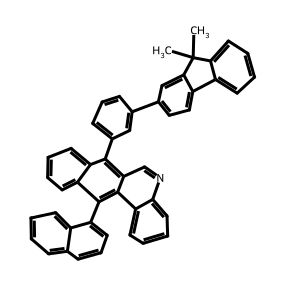 CC1(C)c2ccccc2-c2ccc(-c3cccc(-c4c5ccccc5c(-c5cccc6ccccc56)c5c4cnc4ccccc45)c3)cc21